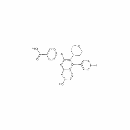 O=C(O)c1ccc(Oc2nc3cc(O)ccc3c(-c3ccc(F)cc3)c2C2CCOCC2)cc1